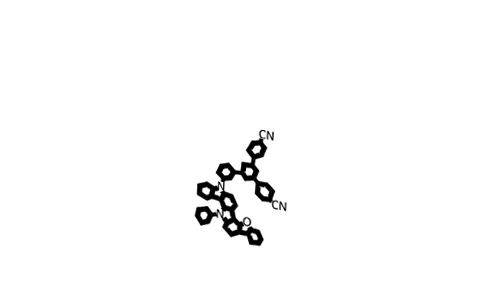 N#Cc1ccc(-c2cc(-c3ccc(C#N)cc3)cc(-c3cccc(-n4c5ccccc5c5c4ccc4c6c7oc8ccccc8c7ccc6n(-c6ccccc6)c45)c3)c2)cc1